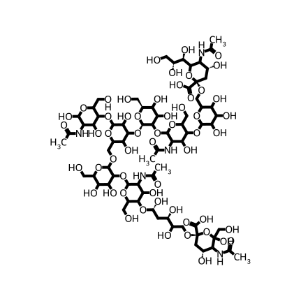 CC(=O)NC1C(O)OC(CO)C(OC2OC(COC3OC(CO)C(O)C(O)C3OC3OC(CO)C(O[C@H](O)C[C@@H](O)C(O)CO[C@]4(C(=O)O)C[C@@H](O)C(NC(C)=O)C(O)(CO)O4)C(O)C3NC(C)=O)C(O)C(O[C@H]3O[C@@H](CO)C(O)C(O)C3OC3OC(CO)C(OC4OC(CO[C@]5(C(=O)O)C[C@@H](O)C(NC(C)=O)C([C@H](O)[C@H](O)CO)O5)C(O)C(O)C4O)C(O)C3NC(C)=O)C2O)C1O